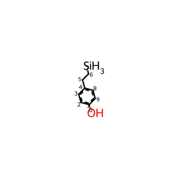 Oc1ccc(CC[SiH3])cc1